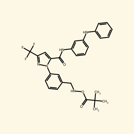 CC(C)(C)C(=O)ONCc1cccc(-n2nc(C(F)(F)F)cc2C(=O)Nc2cccc(Nc3ccccc3)c2)c1